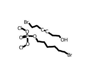 O=P(OCl)(OCl)OCCCCCCBr.OCCCCCCBr